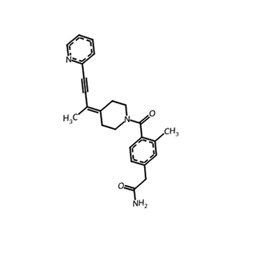 CC(C#Cc1ccccn1)=C1CCN(C(=O)c2ccc(CC(N)=O)cc2C)CC1